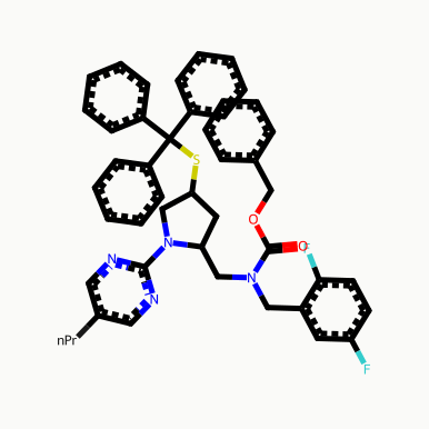 CCCc1cnc(N2CC(SC(c3ccccc3)(c3ccccc3)c3ccccc3)CC2CN(Cc2cc(F)ccc2F)C(=O)OCc2ccccc2)nc1